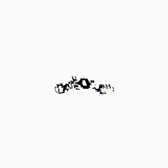 CC1(COCS(=O)(=O)c2ccc(OC/C(=C/F)CN)cc2)CCOCC1